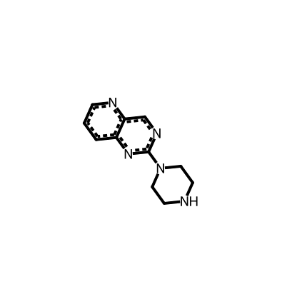 c1cnc2cnc(N3CCNCC3)nc2c1